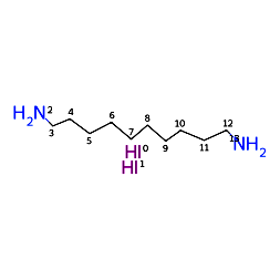 I.I.NCCCCCCCCCCN